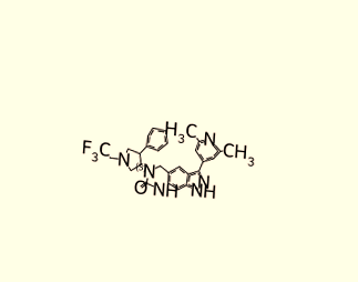 Cc1cc(-c2n[nH]c3cc4c(cc23)CN([C@@H]2CN(CC(F)(F)F)CC2c2ccccc2)C(=O)N4)cc(C)n1